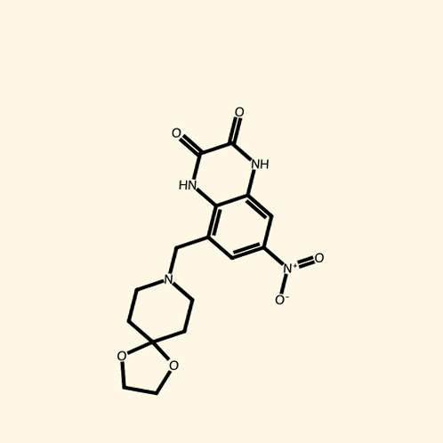 O=c1[nH]c2cc([N+](=O)[O-])cc(CN3CCC4(CC3)OCCO4)c2[nH]c1=O